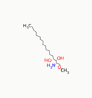 CCCCCCCCCCCCCC[C@@H](O)C(O)[C@@H](N)COC